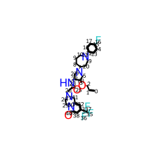 C=CCO[C@H]1CN(C2CCCN(c3ccc(F)cc3)CC2)CC1NC(=O)CN1CCn2c(cc(C(F)(F)F)cc2=O)C1